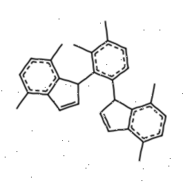 Cc1ccc(C2C=Cc3c(C)ccc(C)c32)c(C2C=Cc3c(C)ccc(C)c32)c1C